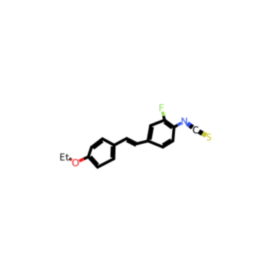 CCOc1ccc(C=Cc2ccc(N=C=S)c(F)c2)cc1